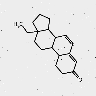 CCC12CCCC1C1C=CC3=CC(=O)CCC3C1CC2